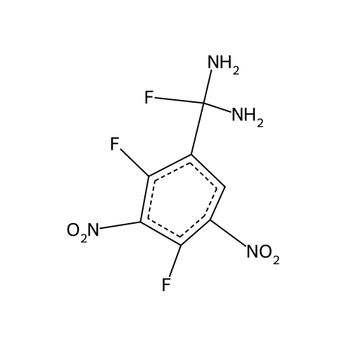 NC(N)(F)c1cc([N+](=O)[O-])c(F)c([N+](=O)[O-])c1F